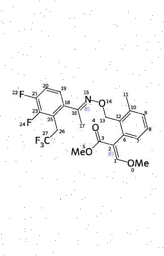 CO/C=C(/C(=O)OC)c1cccc(C)c1CO/N=C(\C)c1ccc(F)c(F)c1CC(F)(F)F